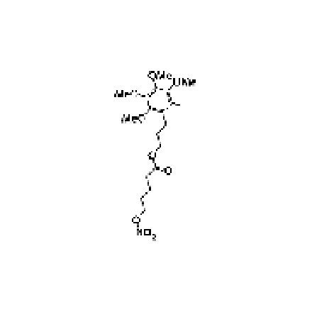 COc1c(C)c(CCCOC(=O)CCCCO[N+](=O)[O-])c(OC)c(OC)c1OC